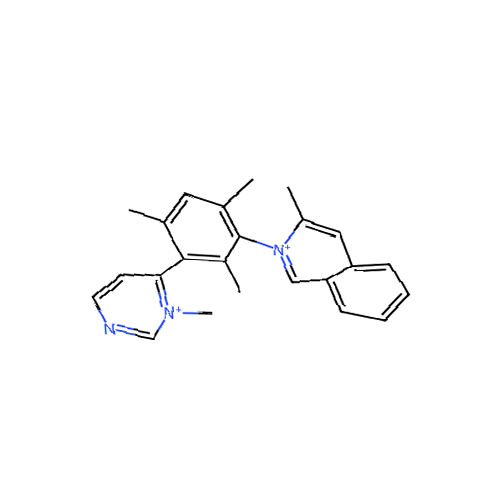 Cc1cc(C)c(-[n+]2cc3ccccc3cc2C)c(C)c1-c1ccnc[n+]1C